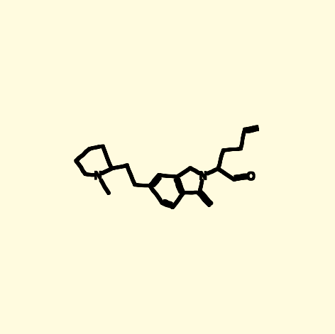 C=CCCC(C=O)N1Cc2cc(CCC3CCCCN3C)ccc2C1=C